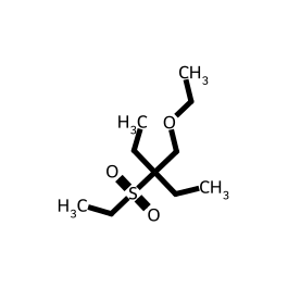 CCOCC(CC)(CC)S(=O)(=O)CC